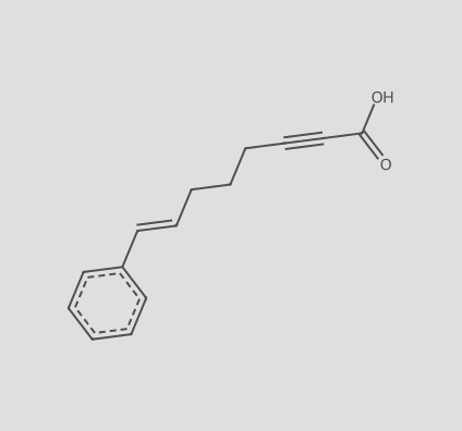 O=C(O)C#CCCCC=Cc1ccccc1